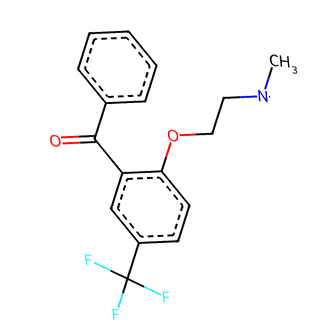 C[N]CCOc1ccc(C(F)(F)F)cc1C(=O)c1ccccc1